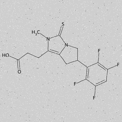 Cn1c(CCC(=O)O)c2n(c1=S)CC(c1c(F)c(F)cc(F)c1F)C2